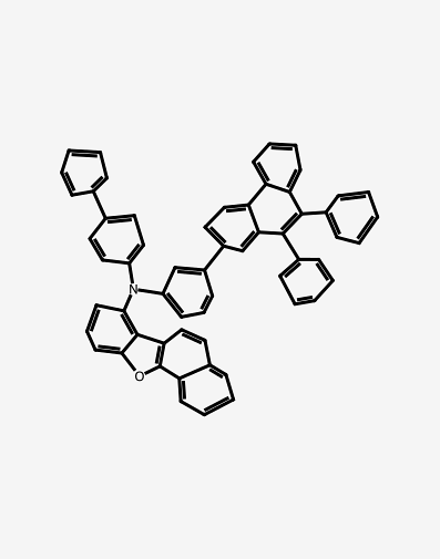 c1ccc(-c2ccc(N(c3cccc(-c4ccc5c(c4)c(-c4ccccc4)c(-c4ccccc4)c4ccccc45)c3)c3cccc4oc5c6ccccc6ccc5c34)cc2)cc1